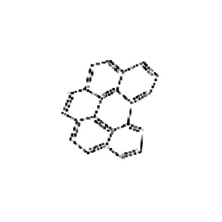 [c]1cc2ccc3cccc4c5cccc6ccc1c(c65)c2c34